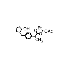 CCC(OC(C)=O)OC(=O)[C@@H](C)c1ccc(C[C@H]2CCC[C@@H]2O)cc1